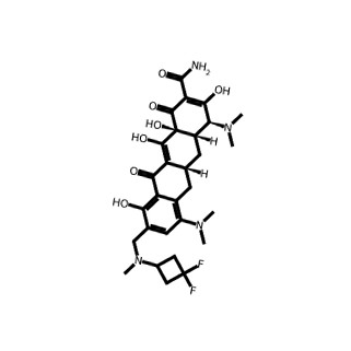 CN(C)c1cc(CN(C)C2CC(F)(F)C2)c(O)c2c1C[C@H]1C[C@H]3[C@H](N(C)C)C(O)=C(C(N)=O)C(=O)[C@@]3(O)C(O)=C1C2=O